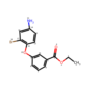 CCOC(=O)c1cccc(Oc2ccc(N)cc2Br)c1